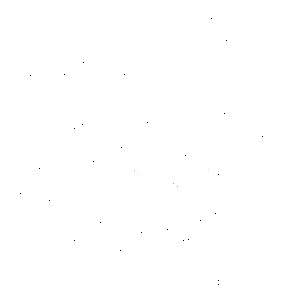 O=c1cc2n(cc1O)CCN(CC(CC1CCCCCC1)C1CCCCCC1)CC2